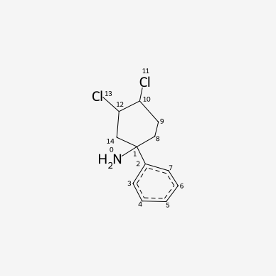 NC1(c2ccccc2)CCC(Cl)C(Cl)C1